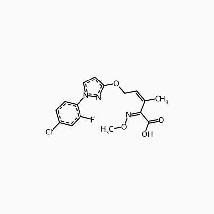 CON=C(C(=O)O)C(C)=CCOc1ccn(-c2ccc(Cl)cc2F)n1